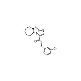 O=C(/C=C/c1cccc(Cl)c1)c1cnc2sc3c(n12)CCCCC3